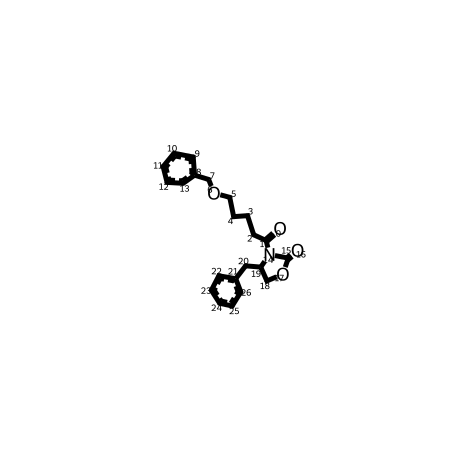 O=C(CCCCOCc1ccccc1)N1C(=O)OCC1Cc1ccccc1